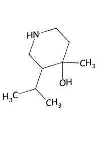 CC(C)C1CNCCC1(C)O